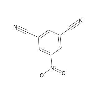 N#Cc1cc(C#N)cc([N+](=O)[O-])c1